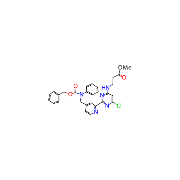 COC(=O)CCNc1cc(Cl)nc(-c2cc(CN(C(=O)OCc3ccccc3)c3ccccc3)ccn2)n1